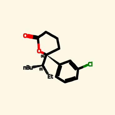 CCCC[C@H](CC)[C@]1(c2cccc(Cl)c2)CCCC(=O)O1